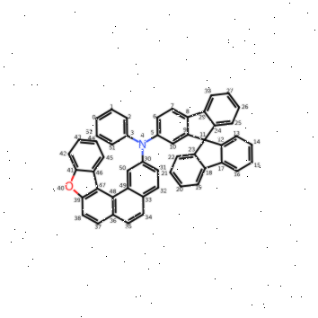 c1ccc(N(c2ccc3c(c2)C2(c4ccccc4-c4ccccc42)c2ccccc2-3)c2ccc3ccc4ccc5oc6ccccc6c5c4c3c2)cc1